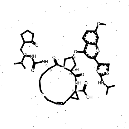 COc1ccc2c(O[C@@H]3C[C@H]4C(=O)N[C@]5(C(=O)O)CC5/C=C\CCCCC[C@H](NC(=O)N[C@H](CC5CCCC5=O)C(C)C)C(=O)N4C3)cc(-c3csc(NC(C)C)n3)nc2c1